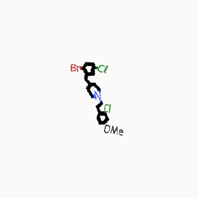 COc1ccc(CCN2CCC(Cc3cc(Cl)ccc3Br)CC2)c(Cl)c1